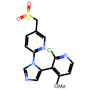 COc1ccnc(Cl)c1-c1cncn1-c1ccc(C[SH](=O)=O)cn1